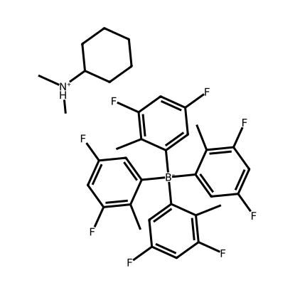 C[NH+](C)C1CCCCC1.Cc1c(F)cc(F)cc1[B-](c1cc(F)cc(F)c1C)(c1cc(F)cc(F)c1C)c1cc(F)cc(F)c1C